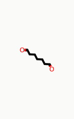 O=CCCCCCC=O